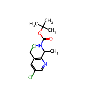 CC(NC(=O)OC(C)(C)C)c1ncc(Cl)cc1CCl